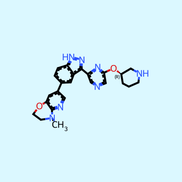 CN1CCOc2cc(-c3ccc4[nH]nc(-c5cncc(O[C@@H]6CCCNC6)n5)c4c3)cnc21